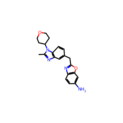 Cc1nc2cc(Cc3nc4ccc(N)cc4o3)ccc2n1C1CCOCC1